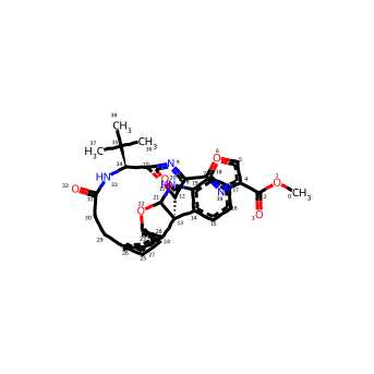 COC(=O)c1coc(-c2nc3oc2[C@@]24c5ccccc5NC2Oc2ccc(cc24)CCC(=O)N[C@H]3C(C)(C)C)n1